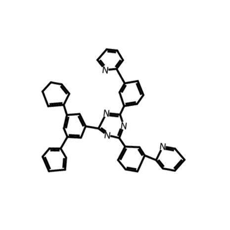 C1=CC(c2cc(-c3ccccc3)cc(-c3nc(-c4cccc(-c5ccccn5)c4)nc(-c4cccc(-c5ccccn5)c4)n3)c2)=CCC1